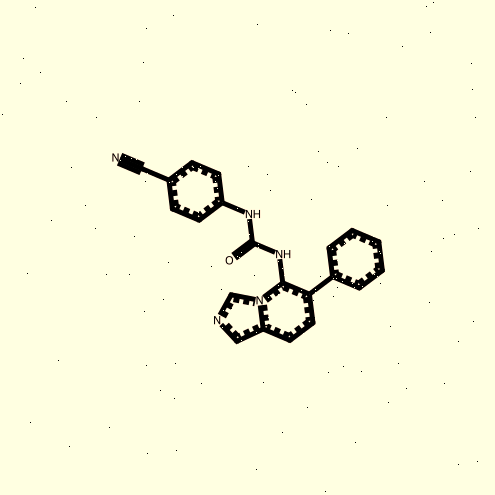 N#Cc1ccc(NC(=O)Nc2c(-c3ccccc3)ccc3cncn23)cc1